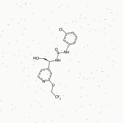 O=C(Nc1cccc(Cl)c1)N[C@H](CO)c1ccnc(OCC(F)(F)F)c1